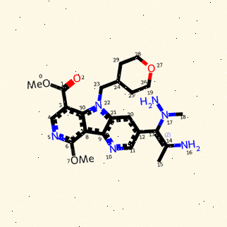 COC(=O)c1cnc(OC)c2c3ncc(/C(=C(\C)N)N(C)N)cc3n(CC3CCOCC3)c12